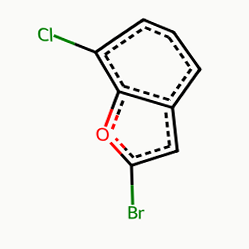 Clc1cccc2cc(Br)oc12